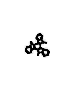 Cn1c2ccccc2c2c1c1c3ccccc3n(C)c1c1c3ccccc3n(C)c21